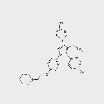 CCc1c(-c2ccc(O)cc2)nn(-c2ccc(OCCN3CCCCC3)cc2)c1-c1ccc(O)cc1